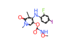 CONC(=O)Oc1cn(C)c(=O)c(C)c1Nc1ccc(I)cc1F